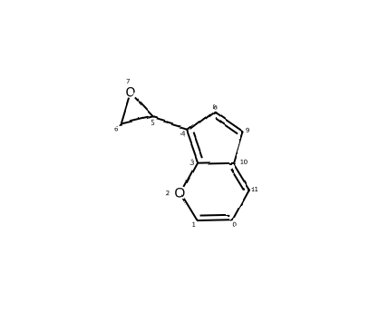 c1coc2c(C3CO3)ccc-2c1